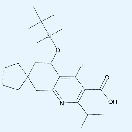 CC(C)c1nc2c(c(I)c1C(=O)O)C(O[Si](C)(C)C(C)(C)C)CC1(CCCC1)C2